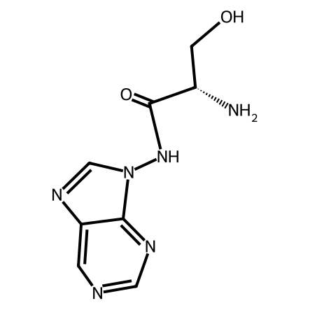 N[C@@H](CO)C(=O)Nn1cnc2cncnc21